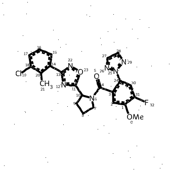 COc1cc(C(=O)N2CCCC2c2nc(-c3cccc(Cl)c3C)no2)c(-n2nccn2)cc1F